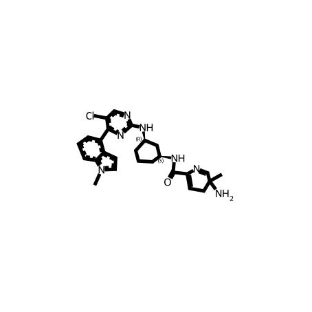 Cn1ccc2c(-c3nc(N[C@@H]4CCC[C@H](NC(=O)C5=CCC(C)(N)C=N5)C4)ncc3Cl)cccc21